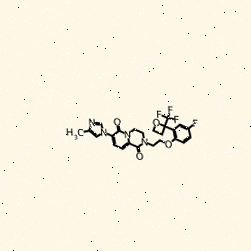 Cc1cn(-c2ccc3n(c2=O)CCN(CCOc2ccc(F)cc2C2(C(F)(F)F)CCO2)C3=O)cn1